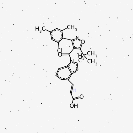 Cc1cc(C)c(-c2noc(C(C)(C)C)c2C(=O)n2ccc3c(/C=C/C(=O)O)cccc32)c(Cl)c1